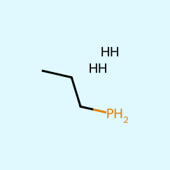 CCCP.[HH].[HH]